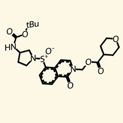 CC(C)(C)OC(=O)NC1CCN([S+]([O-])c2cccc3c(=O)n(COC(=O)C4CCOCC4)ccc23)C1